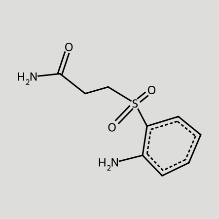 NC(=O)CCS(=O)(=O)c1ccccc1N